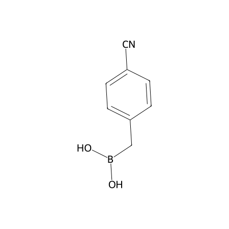 N#Cc1ccc(CB(O)O)cc1